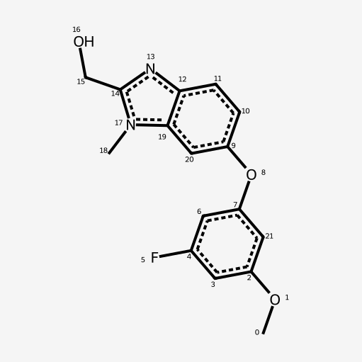 COc1cc(F)cc(Oc2ccc3nc(CO)n(C)c3c2)c1